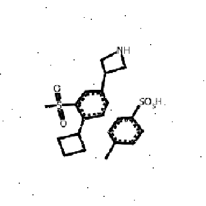 CS(=O)(=O)c1cc(C2CNC2)ccc1C1CCC1.Cc1ccc(S(=O)(=O)O)cc1